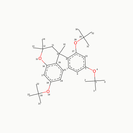 CC(C)(C)Oc1ccc(C2(C)CC(C)(C)Oc3cc(OC(C)(C)C)ccc32)c(OC(C)(C)C)c1